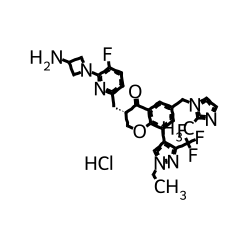 CCn1cc(-c2cc(Cn3ccnc3C)cc3c2OC[C@H](Cc2ccc(F)c(N4CC(N)C4)n2)C3=O)c(C(F)(F)F)n1.Cl